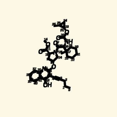 CCCC#Cc1c(O[C@@H]2C[C@@H](C(=O)OC)N(C(=O)[C@@H](NC(=O)O[C@@H]3CC3C)C3(C)CCCCC3)C2)nc2ccccc2c1O